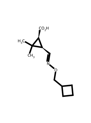 CC1(C)[C@H](C=NOCC2CCC2)[C@@H]1C(=O)O